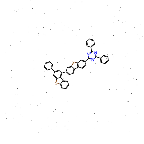 c1ccc(-c2cc(-c3ccc4c(c3)sc3cc(-c5nc(-c6ccccc6)nc(-c6ccccc6)n5)ccc34)c3c(c2)sc2ccccc23)cc1